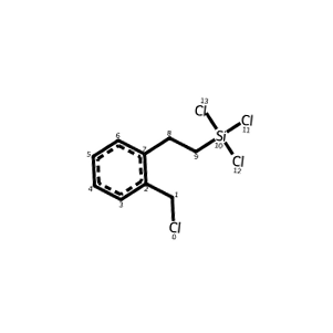 ClCc1ccccc1CC[Si](Cl)(Cl)Cl